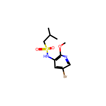 COc1ncc(Br)cc1NS(=O)(=O)CC(C)C